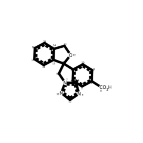 O=C(O)c1ccc(C2(Cn3cncn3)OCc3ccccc32)cc1